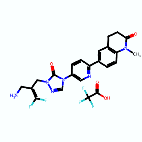 CN1C(=O)CCc2cc(-c3ccc(-n4cnn(CC(CN)=C(F)F)c4=O)cn3)ccc21.O=C(O)C(F)(F)F